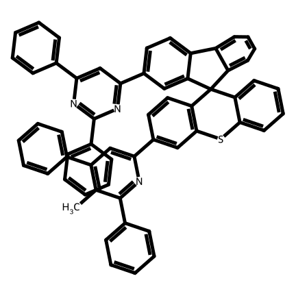 Cc1c(-c2ccccc2)cc(-c2ccc3c(c2)Sc2ccccc2C32c3ccccc3-c3ccc(-c4cc(-c5ccccc5)nc(-c5ccccc5)n4)cc32)nc1-c1ccccc1